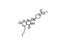 CCCCCc1cc(=O)oc2nc(ON=C3CCN(C(=O)OCC)CC3)[nH]c(=O)c12